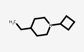 CCC1CCN(C2CCC2)CC1